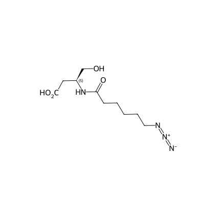 [N-]=[N+]=NCCCCCC(=O)N[C@H](CO)CC(=O)O